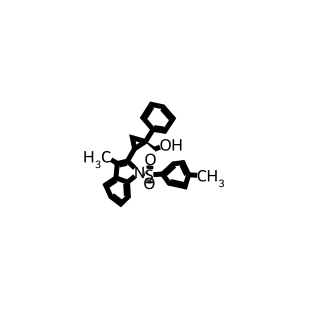 Cc1ccc(S(=O)(=O)n2c(C3C[C@]3(CO)c3ccccc3)c(C)c3ccccc32)cc1